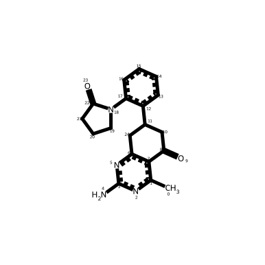 Cc1nc(N)nc2c1C(=O)CC(c1ccccc1N1CCCC1=O)C2